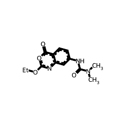 CCOc1nc2cc(NC(=O)N(C)C)ccc2c(=O)o1